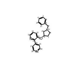 c1ccc(CN2CCC(Oc3cccnc3-c3ccncc3)C2)cc1